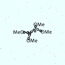 COC1=CCC(C2CCC3C(C2)c2cc(-c4ccc(OC)cc4)ccc2N3C2C=CC(C3=CC=C(C(c4ccc(OC)cc4)C4CCC(c5ccc(OC)cc5)CC4)C4CCCC34)CC2)CC1